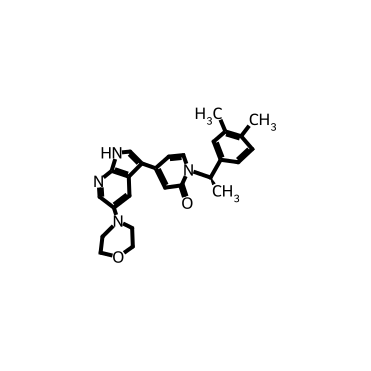 Cc1ccc([C@@H](C)n2ccc(-c3c[nH]c4ncc(N5CCOCC5)cc34)cc2=O)cc1C